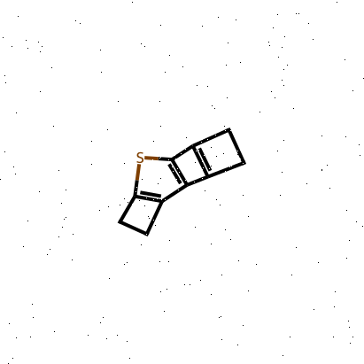 C1CC2=C1c1sc3c(c12)CC3